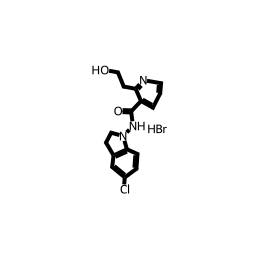 Br.O=C(NN1CCc2cc(Cl)ccc21)c1cccnc1CCO